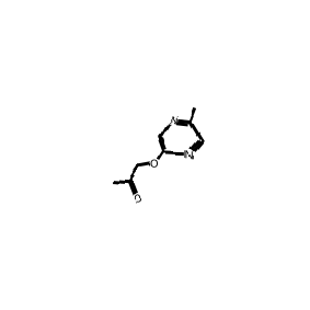 CC(=O)COc1cnc(C)cn1